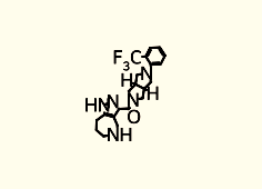 O=C(c1n[nH]c2c1CNCCC2)N1C[C@@H]2CN(c3ccccc3C(F)(F)F)C[C@@H]2C1